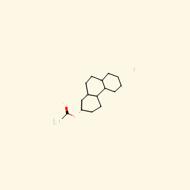 CCC[C@@H]1CCC2C(CCC3C[C@H](OC(=O)CC)CCC32)C1